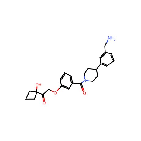 NCc1cccc(C2CCN(C(=O)c3cccc(OCC(=O)C4(O)CCC4)c3)CC2)c1